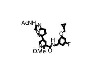 COc1ncc(-c2ccc3nc(NC(C)=O)cn3n2)cc1C(=O)NCc1cc(F)cc(OCC2CC2)c1